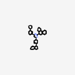 C1=CC(c2cccc(-c3cc(-c4ccc(-c5cccc6ccccc56)cc4)nc(-c4cc5ccccc5c5ccccc45)n3)c2)=CCC1